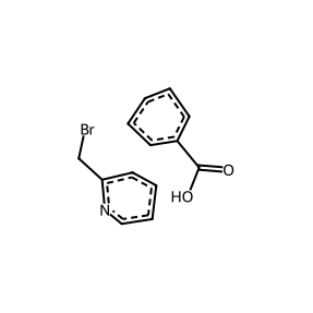 BrCc1ccccn1.O=C(O)c1ccccc1